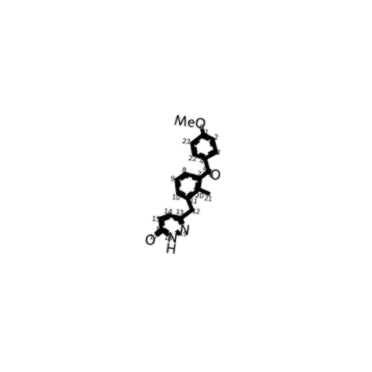 COc1ccc(C(=O)c2cccc(Cc3ccc(=O)[nH]n3)c2C)cc1